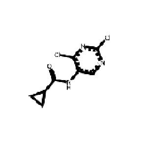 O=C(Nc1cnc(Cl)nc1Cl)C1CC1